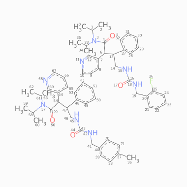 CC(C)N(C(=O)C(c1cccnc1)C(CNC(=O)NCc1ccccc1F)c1ccccc1)C(C)C.Cc1ccc(CNC(=O)NCC(c2ccccc2)C(C(=O)N(C(C)C)C(C)C)c2cccnc2)cc1